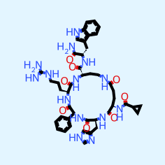 N=C(N)NCCC[C@@H]1NC(=O)C(c2ccccc2)NC(=O)[C@H](Cc2c[nH]cn2)NC(=O)[C@@H](NC(=O)C2CC2)CCC(=O)NCC[C@@H](C(=O)N[C@@H](Cc2c[nH]c3ccccc23)C(N)=O)NC1=O